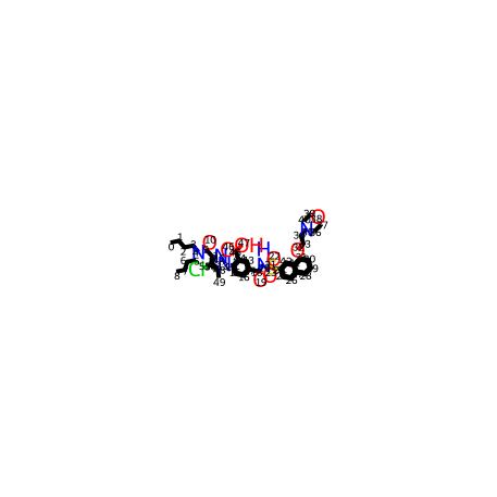 CCCCN(CCCC)C(=O)c1nn(-c2ccc(C(=O)NS(=O)(=O)c3ccc4cccc(OCCN5CCOCC5)c4c3)cc2C(=O)O)c(C)c1Cl